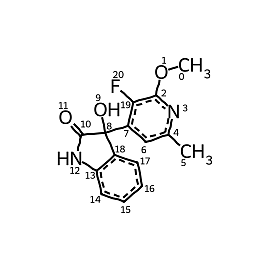 COc1nc(C)cc(C2(O)C(=O)Nc3ccccc32)c1F